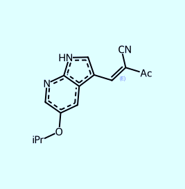 CC(=O)/C(C#N)=C/c1c[nH]c2ncc(OC(C)C)cc12